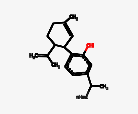 C=C(C)C1CCC(C)=CC1c1ccc(C(C)CCCCCC)cc1O